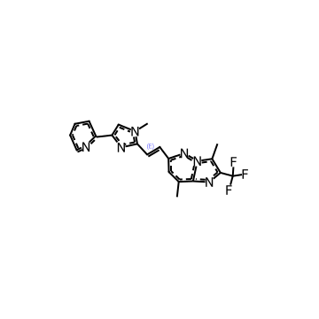 Cc1cc(/C=C/c2nc(-c3ccccn3)cn2C)nn2c(C)c(C(F)(F)F)nc12